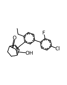 CCc1ccc(-c2ccc(Cl)cc2F)cc1C1=C(O)C2C=CC(CC2)C1=O